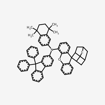 CC1(C)CCC(C)(C)c2cc(N(c3ccc4c(c3)C(c3ccccc3)(c3ccccc3)c3ccccc3-4)c3cccc4c3Oc3ccccc3C43C4CC5CC6CC3C64C5)ccc21